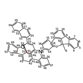 CC1(C)c2ccccc2-c2cccc(-c3ccc(N(c4cccc(-c5ccc6ccccc6c5)c4)c4ccccc4-c4ccc5c(c4)oc4ccccc45)cc3)c21